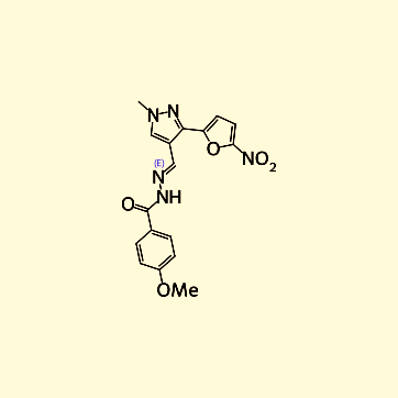 COc1ccc(C(=O)N/N=C/c2cn(C)nc2-c2ccc([N+](=O)[O-])o2)cc1